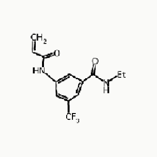 C=CC(=O)Nc1cc(C(=O)NCC)cc(C(F)(F)F)c1